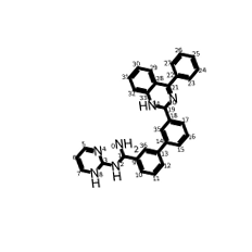 NC(NC1N=CC=CN1)c1cccc(-c2cccc(C3N=C(c4ccccc4)c4ccccc4N3)c2)c1